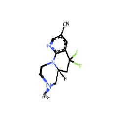 CC(C)N1CCN2c3ncc(C#N)cc3C(F)(F)C[C@@H]2C1